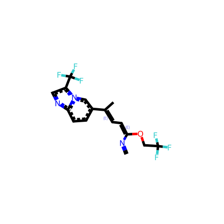 C=N/C(=C\C=C(/C)c1ccc2ncc(C(F)(F)F)n2c1)OCC(F)(F)F